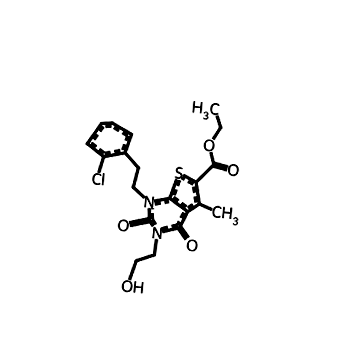 CCOC(=O)c1sc2c(c1C)c(=O)n(CCO)c(=O)n2CCc1ccccc1Cl